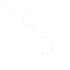 CC1(C)OB(c2cc(C#N)cs2)OC1(C)C